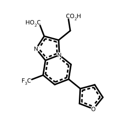 O=C(O)Cc1c(C(=O)O)nc2c(C(F)(F)F)cc(-c3ccoc3)cn12